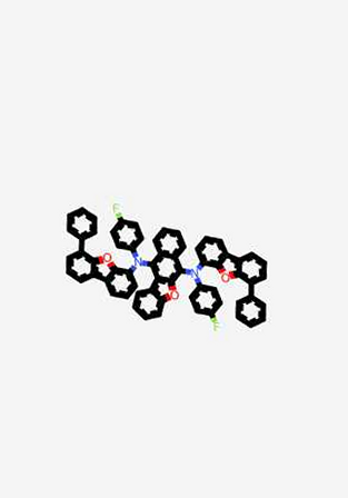 Fc1ccc(N(c2cccc3c2oc2c(-c4ccccc4)cccc23)c2c3ccccc3c(N(c3ccc(F)cc3)c3cccc4c3oc3c(-c5ccccc5)cccc34)c3c2oc2ccccc23)cc1